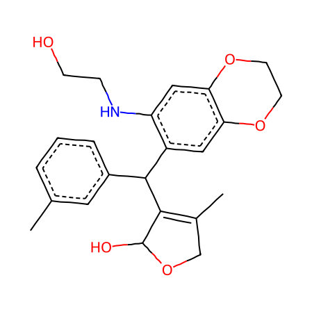 CC1=C(C(c2cccc(C)c2)c2cc3c(cc2NCCO)OCCO3)C(O)OC1